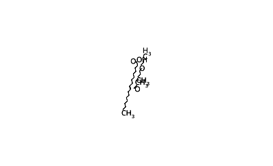 CC1CO1.CCCCCCCCC=CCCCCCCCC(=O)O.CCCCOCCCC